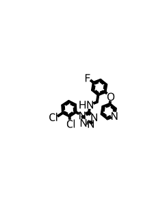 Fc1ccc(Oc2cccnc2)c(CNc2nnnn2-c2cccc(Cl)c2Cl)c1